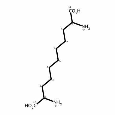 NC(CCCCCCCC(N)C(=O)O)C(=O)O